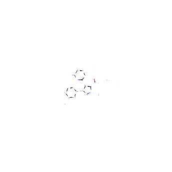 CCOC(=O)c1c(-c2cc(C)cc(C)n2)c(-c2cccc(OC)c2C)cn1N